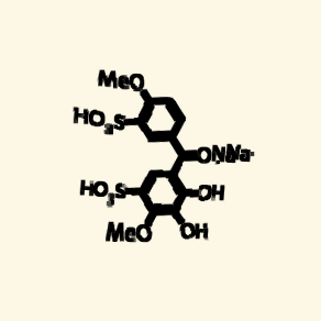 COc1ccc(C(=O)c2cc(S(=O)(=O)O)c(OC)c(O)c2O)cc1S(=O)(=O)O.[Na].[Na]